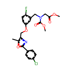 COC(=O)CN(Cc1cc(OCc2nc(-c3ccc(Cl)cc3)oc2C)ccc1F)C(=O)OC